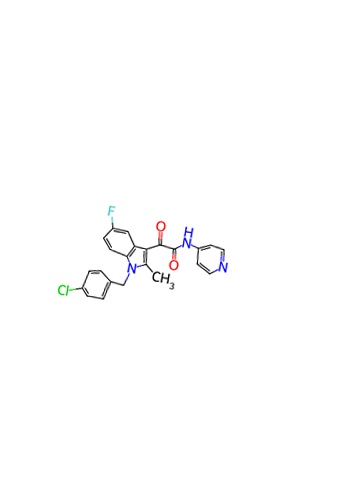 Cc1c(C(=O)C(=O)Nc2ccncc2)c2cc(F)ccc2n1Cc1ccc(Cl)cc1